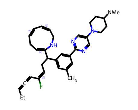 CCC=C=C/C(F)=C\CC(/C1=C/C/C=C\C=C/CN1)c1cc(C)cc(-c2ncc(N3CCC(NC)CC3)cn2)c1